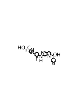 CN1CCC(C(O)c2ccc3cnc(Nc4ccc(-n5ccc(C(=O)O)n5)cc4F)cc3n2)CC1